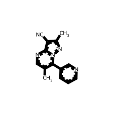 Cc1cnc2c(C#N)c(C)nn2c1-c1cccnc1